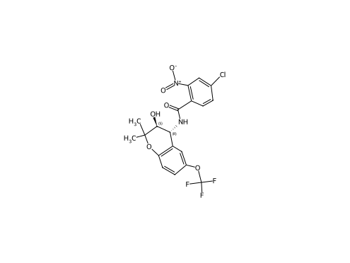 CC1(C)Oc2ccc(OC(F)(F)F)cc2[C@@H](NC(=O)c2ccc(Cl)cc2[N+](=O)[O-])[C@@H]1O